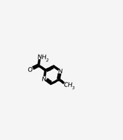 Cc1cnc(C(N)=O)cn1